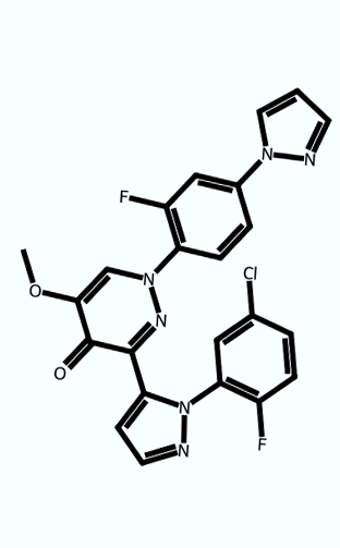 COc1cn(-c2ccc(-n3cccn3)cc2F)nc(-c2ccnn2-c2cc(Cl)ccc2F)c1=O